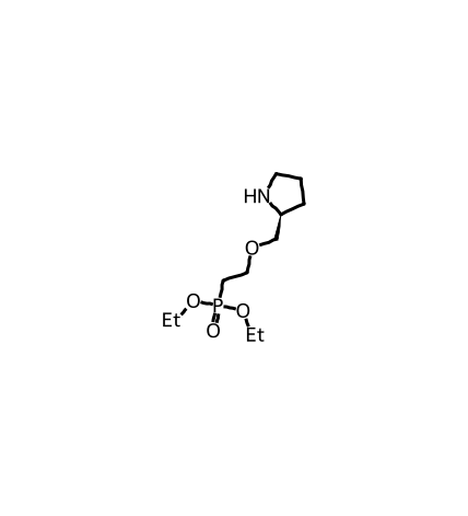 CCOP(=O)(CCOC[C@@H]1CCCN1)OCC